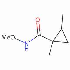 CONC(=O)C1(C)CC1C